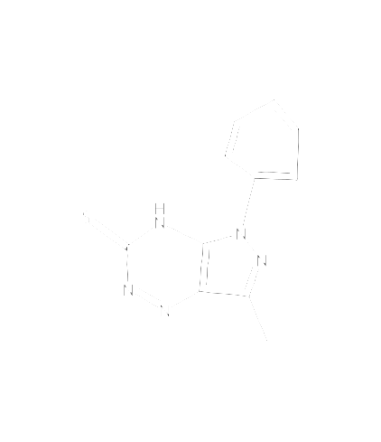 Cc1nn(-c2ccccc2)c2[nH]c(=S)nnc12